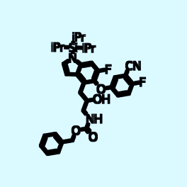 CC(C)[Si](C(C)C)(C(C)C)n1ccc2c(CC(O)CNC(=O)OCc3ccccc3)c(Oc3ccc(F)c(C#N)c3)c(F)cc21